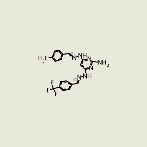 Cc1ccc(/C=N/Nc2cc(N/N=C/c3ccc(C(F)(F)F)cc3)nc(N)n2)cc1